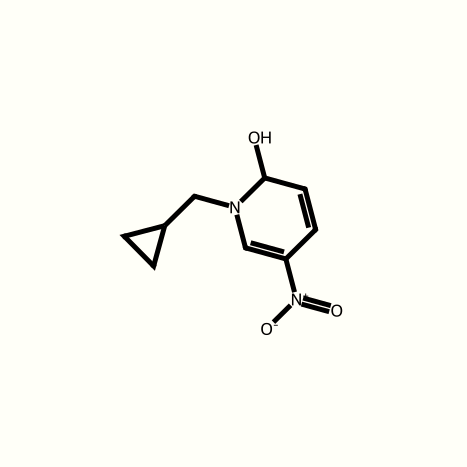 O=[N+]([O-])C1=CN(CC2CC2)C(O)C=C1